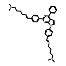 CN(C)CCCC/N=C/c1ccc(-c2nc(-c3ccccc3)c3ccn(-c4ccc(/C=N/CCCCN(C)C)cc4)c3n2)cc1